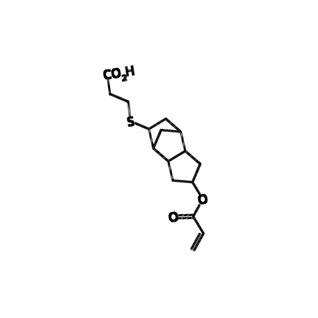 C=CC(=O)OC1CC2C3CC(SCCC(=O)O)C(C3)C2C1